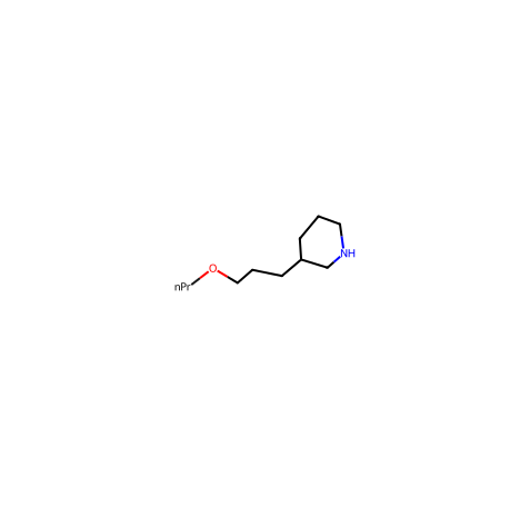 CCCOCCCC1CCCNC1